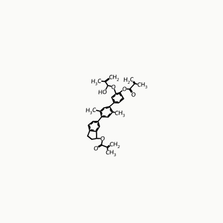 C=C(C)C(=O)Oc1ccc(-c2cc(C)c(-c3ccc4c(c3)C(OC(=O)C(=C)C)CC4)cc2C)cc1OC(O)C(=C)C